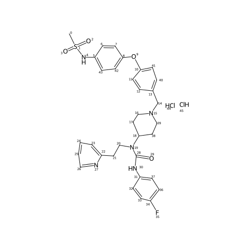 CS(=O)(=O)Nc1ccc(Oc2ccc(CN3CCC(N(CCc4ccccn4)C(=O)Nc4ccc(F)cc4)CC3)cc2)cc1.Cl.Cl